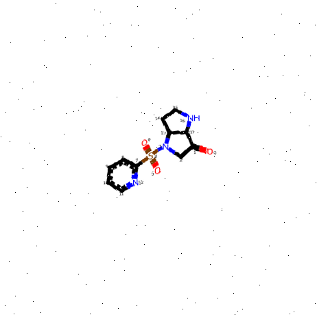 O=C1CN(S(=O)(=O)c2ccccn2)C2CCNC12